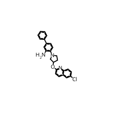 Nc1cc(-c2ccccc2)ccc1N1CCC(Oc2ccc3cc(Cl)ccc3n2)C1